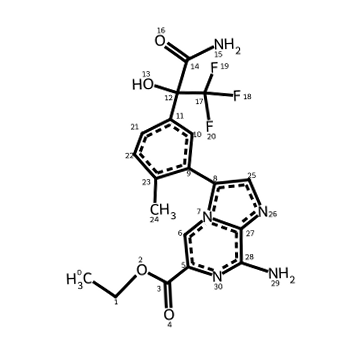 CCOC(=O)c1cn2c(-c3cc(C(O)(C(N)=O)C(F)(F)F)ccc3C)cnc2c(N)n1